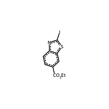 CCOC(=O)c1ccc2nc(I)sc2c1